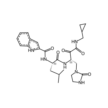 CC(C)C[C@H](NC(=O)c1cc2ccccc2[nH]1)C(=O)N[C@@H](CN1CCNC1=O)C(=O)C(=O)NCC1CC1